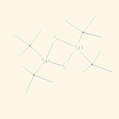 C[C](C)(C)[Sn]1([C](C)(C)C)[S][Sn]([C](C)(C)C)([C](C)(C)C)[S]1